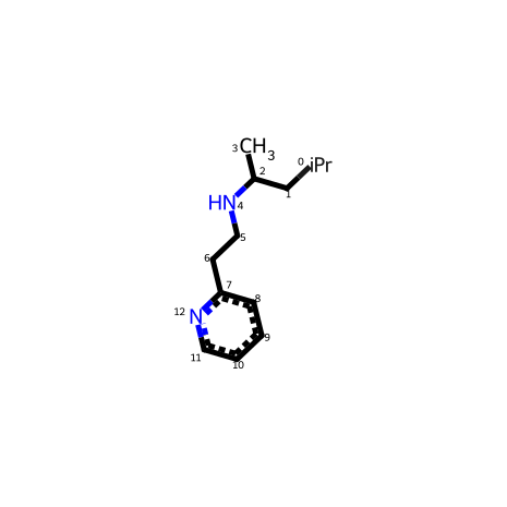 CC(C)CC(C)NCCc1ccccn1